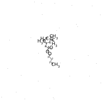 CCCCOOC(=O)CC(C)CC(C)(C)C